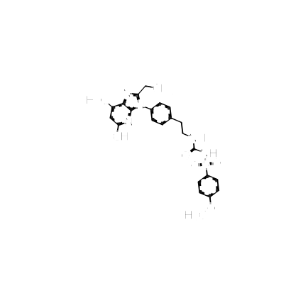 CCc1nc2c(C)cc(C)nc2n1-c1ccc(CCNC(=O)NS(=O)(=O)c2ccc(OC)cc2)cc1